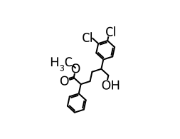 COC(=O)C(CCC(CO)c1ccc(Cl)c(Cl)c1)c1ccccc1